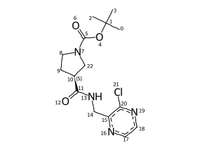 CC(C)(C)OC(=O)N1CC[C@H](C(=O)NCc2nccnc2Cl)C1